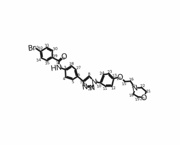 O=C(Nc1ccc(-c2cn(-c3ccc(OCCN4CCOCC4)cc3)nn2)cc1)c1ccc(Br)cc1